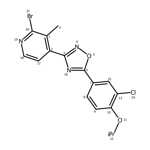 Cc1c(-c2noc(-c3ccc(OC(C)C)c(Cl)c3)n2)ccnc1Br